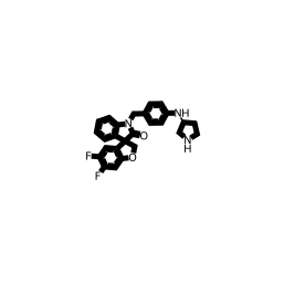 O=C1N(Cc2ccc(N[C@@H]3CCNC3)cc2)c2ccccc2C12COc1cc(F)c(F)cc12